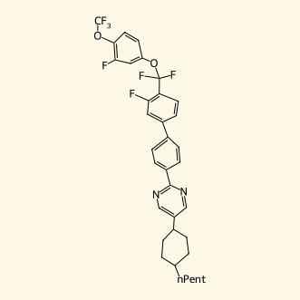 CCCCCC1CCC(c2cnc(-c3ccc(-c4ccc(C(F)(F)Oc5ccc(OC(F)(F)F)c(F)c5)c(F)c4)cc3)nc2)CC1